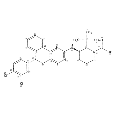 CC(C)(C)C1[C@H](Nc2ncc3c(n2)-c2ccccc2[C@@H](c2ccc(Cl)c(Cl)c2)C3)CCCN1C(=O)O